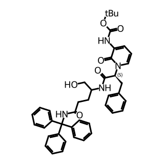 CC(C)(C)OC(=O)Nc1cccn([C@@H](Cc2ccccc2)C(=O)NC(CO)CCC(=O)NC(c2ccccc2)(c2ccccc2)c2ccccc2)c1=O